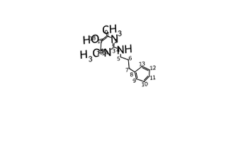 Cc1nc(NCCCc2ccccc2)nc(C)c1O